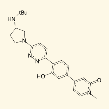 Cn1ccc(-c2ccc(-c3ccc(N4CC[C@H](NC(C)(C)C)C4)nn3)c(O)c2)cc1=O